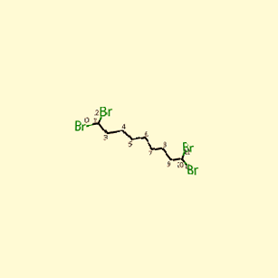 BrC(Br)CCCCCCCC(Br)Br